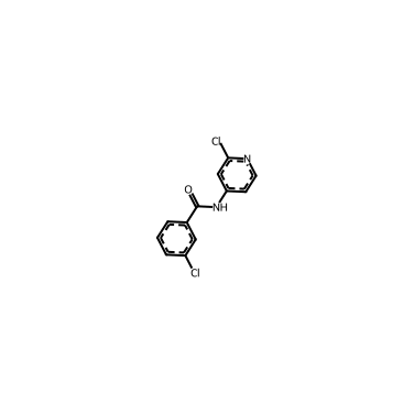 O=C(Nc1ccnc(Cl)c1)c1cccc(Cl)c1